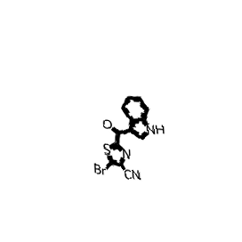 N#Cc1nc(C(=O)c2c[nH]c3ccccc23)sc1Br